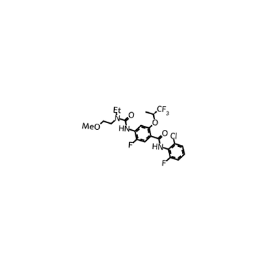 CCN(CCOC)C(=O)Nc1cc(O[C@@H](C)C(F)(F)F)c(C(=O)Nc2c(F)cccc2Cl)cc1F